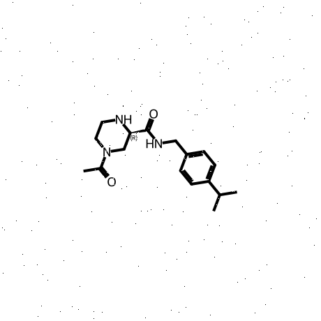 CC(=O)N1CCN[C@@H](C(=O)NCc2ccc(C(C)C)cc2)C1